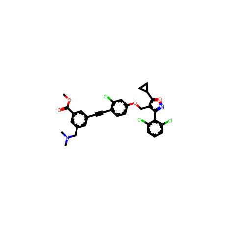 COC(=O)c1cc(C#Cc2ccc(OCc3c(-c4c(Cl)cccc4Cl)noc3C3CC3)cc2Cl)cc(CN(C)C)c1